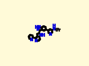 CC(C)Nc1cncc(-c2ccc3[nH]nc(-c4cc5c(-c6ccccn6)nccc5[nH]4)c3c2)c1